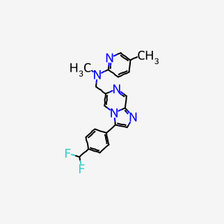 Cc1ccc(N(C)Cc2cn3c(-c4ccc(C(F)F)cc4)cnc3cn2)nc1